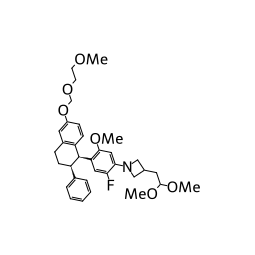 COCCOCOc1ccc2c(c1)CC[C@H](c1ccccc1)[C@@H]2c1cc(F)c(N2CC(CC(OC)OC)C2)cc1OC